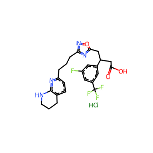 Cl.O=C(O)CC(Cc1nc(CCCc2ccc3c(n2)NCCC3)no1)c1cc(F)cc(C(F)(F)F)c1